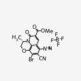 COC(=O)c1cc2c([N+]#N)c(C#N)c(Br)c3c2n(c1=O)[C@@H](C)CO3.F[B-](F)(F)F